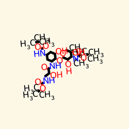 CN(C(=O)OC(C)(C)C)[C@@H]1[C@@H](O)[C@@H](O[C@@H]2[C@@H](O)C[C@@H](NC(=O)OC(C)(C)C)C[C@H]2NC(=O)[C@@H](O)CNC(=O)OC(C)(C)C)OC[C@]1(C)O